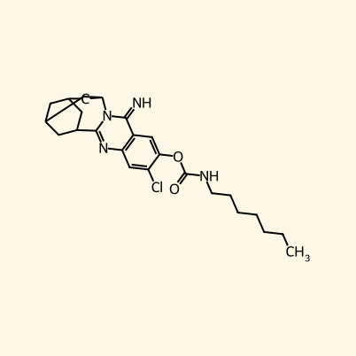 CCCCCCCNC(=O)Oc1cc2c(=N)n3c(nc2cc1Cl)C1CC2CC(C1)CC3C2